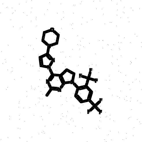 Cc1nc2c(c(-n3ccc(N4CCOCC4)n3)n1)CCN2c1ccc(C(F)(F)F)cc1C(F)(F)F